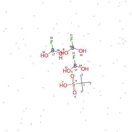 CC(C)(C)S(=O)(=O)O.OB(O)F.OB(O)F.OB(O)F